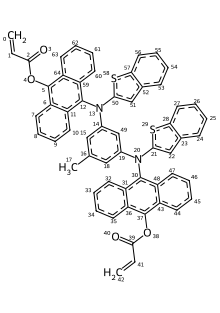 C=CC(=O)Oc1c2ccccc2c(N(c2cc(C)cc(N(c3cc4ccccc4s3)c3c4ccccc4c(OC(=O)C=C)c4ccccc34)c2)c2cc3ccccc3s2)c2ccccc12